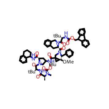 COC[C@@H](c1ccccc1)N(CC1(C(=O)NC2C[C@@H](C(=O)NC3CCCc4ccccc43)N(C(=O)[C@@H](NC(=O)[C@H](C)N(C)C(=O)OC(C)(C)C)C(C)(C)C)C2)CC1)C(=O)[C@@H]1Cc2ccccc2CN1C(=O)[C@@H](NC(=O)OCC1c2ccccc2-c2ccccc21)C(C)(C)C